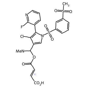 CNC(OC(=O)/C=C/C(=O)O)c1cn(S(=O)(=O)c2cccc(S(C)(=O)=O)c2)c(-c2cccnc2F)c1Cl